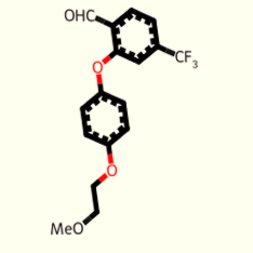 COCCOc1ccc(Oc2cc(C(F)(F)F)ccc2C=O)cc1